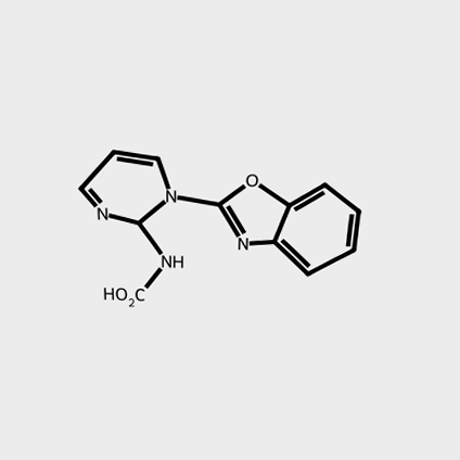 O=C(O)NC1N=CC=CN1c1nc2ccccc2o1